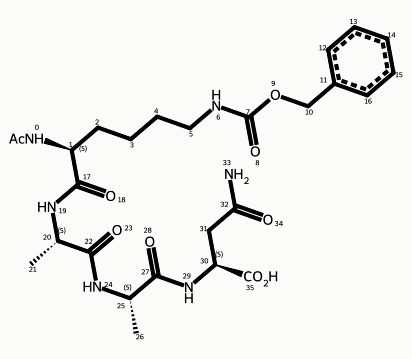 CC(=O)N[C@@H](CCCCNC(=O)OCc1ccccc1)C(=O)N[C@@H](C)C(=O)N[C@@H](C)C(=O)N[C@@H](CC(N)=O)C(=O)O